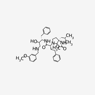 COc1cccc(CNC[C@@H](O)[C@H](Cc2ccccc2)NC(=O)[C@H](CCc2ccccc2)N2CC[C@@](CC(C)C)(NC(C)=O)C2=O)c1